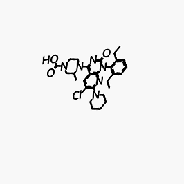 CCc1cccc(CC)c1-n1c(=O)nc(N2CCN(C(=O)O)CC2C)c2cc(Cl)c(N3CCCCC3)nc21